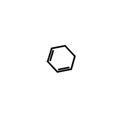 [C]1=CCCC=C1